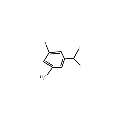 Cc1cc(F)cc(C(F)F)c1